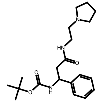 CC(C)(C)OC(=O)NC(CC(=O)NCCN1CCCC1)c1ccccc1